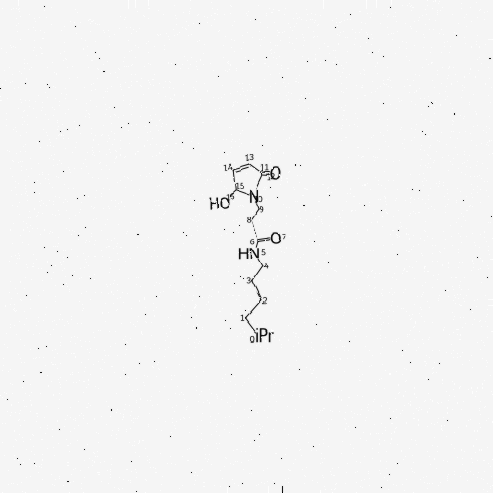 CC(C)CCCCNC(=O)CCN1C(=O)C=CC1O